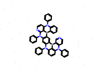 c1ccc(N2c3ccncc3B3c4cc5c(cc4N(c4ccccc4)c4cccc2c43)N(c2ccccc2)c2nccc3c2B5c2ccccc2N3c2ccccc2)cc1